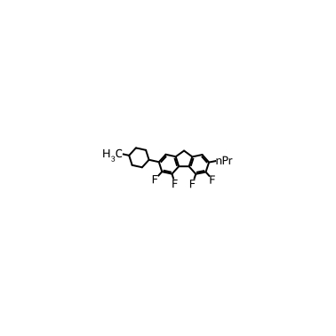 CCCc1cc2c(c(F)c1F)-c1c(cc(C3CCC(C)CC3)c(F)c1F)C2